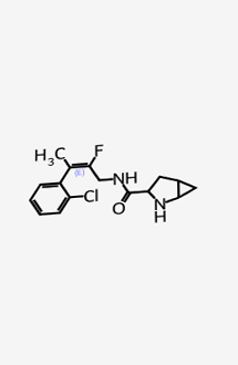 C/C(=C(\F)CNC(=O)C1CC2CC2N1)c1ccccc1Cl